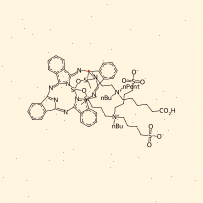 CCCCC[N+](CCCC)(CCCCCC(=O)O)CCC[Si](C)(C)O[Si]1(O[Si](C)(C)CCC[N+](CCCC)(CCCCS(=O)(=O)[O-])CCCCS(=O)(=O)[O-])n2c3c4ccccc4c2/N=C2N=C(/N=c4/c5ccccc5/c(n41)=N/C1=NC(=N\3)/c3ccccc31)c1ccccc1\2